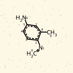 C=Nc1ccc(N)cc1C